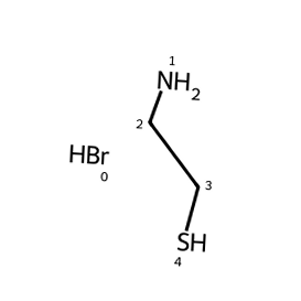 Br.NCCS